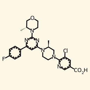 C[C@@H]1COCCN1c1nc(-c2ccc(F)cc2)cc(N2CCN(c3ncc(C(=O)O)cc3Cl)C[C@@H]2C)n1